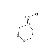 ClN[C@H]1CCSSC1